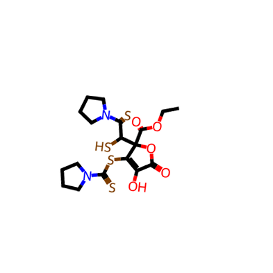 CCOC(=O)C1(C(S)C(=S)N2CCCC2)OC(=O)C(O)=C1SC(=S)N1CCCC1